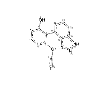 C#COc1cccc(O)c1-c1cccc2[nH]nnc12